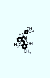 Cc1cc(C)c(-c2nnc(NC3CC(C)(O)C3)c3cccnc23)c(O)c1